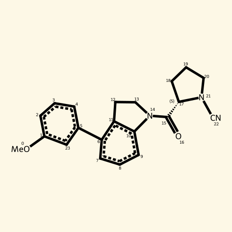 COc1cccc(-c2cccc3c2CCN3C(=O)[C@@H]2CCCN2C#N)c1